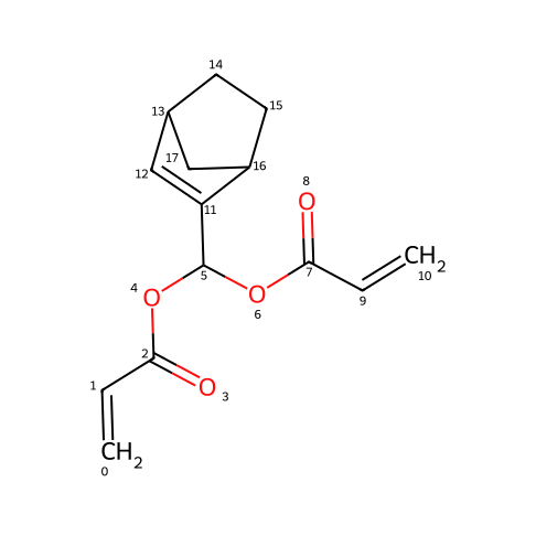 C=CC(=O)OC(OC(=O)C=C)C1=CC2CCC1C2